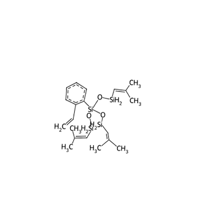 C=Cc1ccccc1[Si](O[SiH2]C=C(C)C)(O[SiH2]C=C(C)C)O[SiH2]C=C(C)C